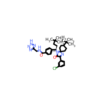 CC(C)(C)CC[C@H](c1ccc(C(=O)NCc2nn[nH]n2)cc1)N1C(=O)C(c2cccc(Cl)c2)=NC12CCC(C(C)(C)C)CC2